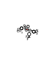 CN=[S@](=O)(c1ccc(OC)cc1)N1CCC[C@H]1C(=O)N(Cc1ccc2scnc2c1)C1CCC2(CC1)CC2(F)F